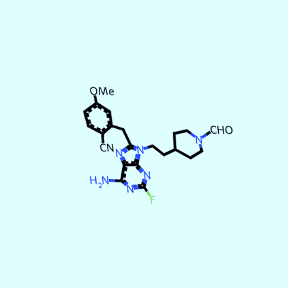 COc1ccc(C#N)c(Cc2nc3c(N)nc(F)nc3n2CCC2CCN(C=O)CC2)c1